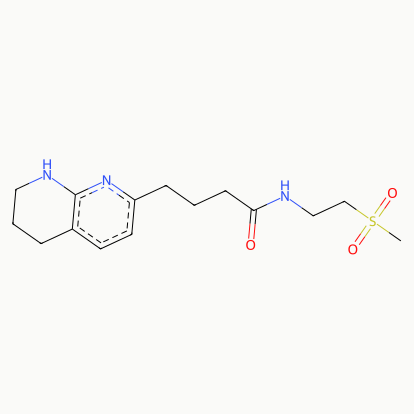 CS(=O)(=O)CCNC(=O)CCCc1ccc2c(n1)NCCC2